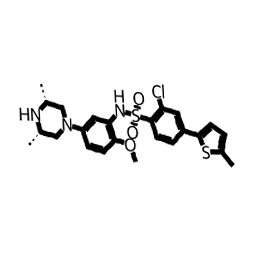 COc1ccc(N2C[C@@H](C)N[C@@H](C)C2)cc1NS(=O)(=O)c1ccc(-c2ccc(C)s2)cc1Cl